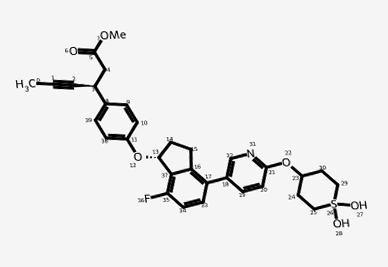 CC#C[C@@H](CC(=O)OC)c1ccc(O[C@@H]2CCc3c(-c4ccc(OC5CCS(O)(O)CC5)nc4)ccc(F)c32)cc1